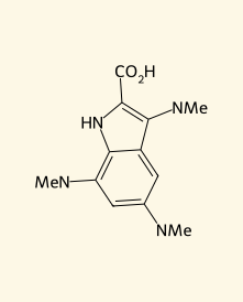 CNc1cc(NC)c2[nH]c(C(=O)O)c(NC)c2c1